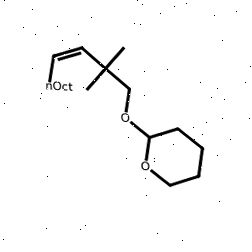 CCCCCCCC/C=C\C(C)(C)COC1CCCCO1